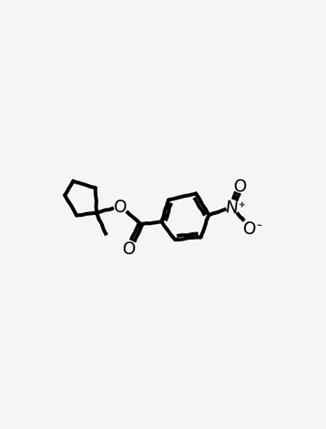 CC1(OC(=O)c2ccc([N+](=O)[O-])cc2)CCCC1